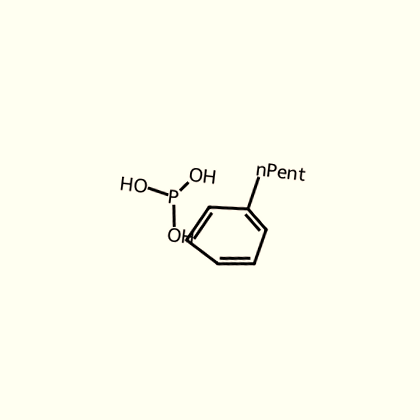 CCCCCc1ccccc1.OP(O)O